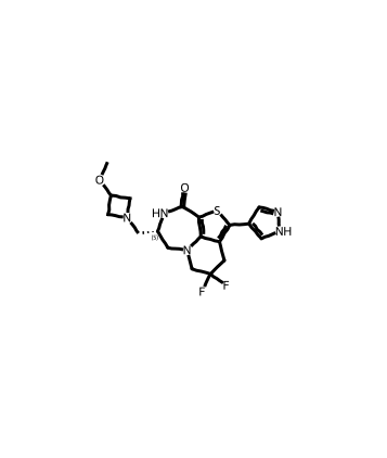 COC1CN(C[C@H]2CN3CC(F)(F)Cc4c(-c5cn[nH]c5)sc(c43)C(=O)N2)C1